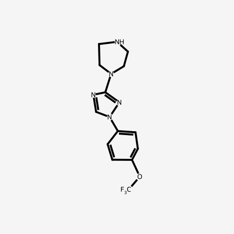 FC(F)(F)Oc1ccc(-n2cnc(N3CCNCC3)n2)cc1